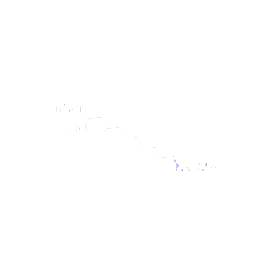 CCCCCCCCCC(O)CCCCCCCC/C=N/OC